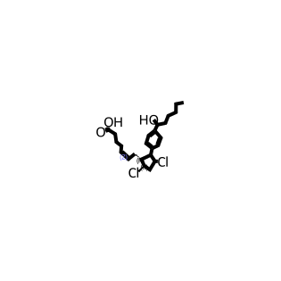 CCCCCC(O)c1ccc(C2C(Cl)C[C@@H](Cl)[C@@H]2C/C=C\CCCC(=O)O)cc1